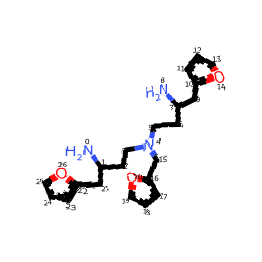 NC(CCN(CCC(N)Cc1ccco1)Cc1ccco1)Cc1ccco1